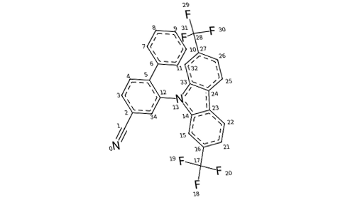 N#Cc1ccc(-c2ccccc2)c(-n2c3cc(C(F)(F)F)ccc3c3ccc(C(F)(F)F)cc32)c1